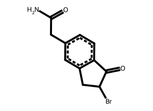 NC(=O)Cc1ccc2c(c1)CC(Br)C2=O